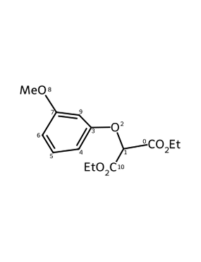 CCOC(=O)C(Oc1cccc(OC)c1)C(=O)OCC